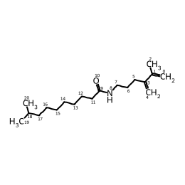 C=C(C)C(=C)CCCNC(=O)CCCCCCCC(C)C